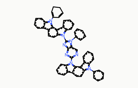 C1=CC(n2c3ccccc3c3ccc4c(c5ccccc5n4-c4nc5nc(-n6c7ccccc7c7ccc8c(c9ccccc9n8-c8ccccc8)c76)ncc5n4-c4ccccc4)c32)=CCC1